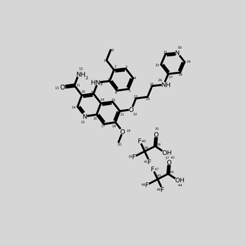 CCc1ccccc1Nc1c(C(N)=O)cnc2cc(OC)c(OCCCNc3ccncc3)cc12.O=C(O)C(F)(F)F.O=C(O)C(F)(F)F